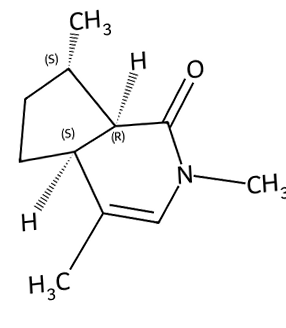 CC1=CN(C)C(=O)[C@H]2[C@@H]1CC[C@@H]2C